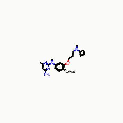 COc1ccc(N(C)c2nc(C)cc(N)n2)cc1OCCCN(C)C1CCC1